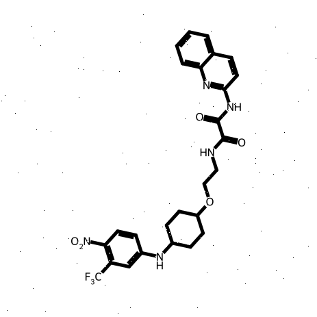 O=C(NCCOC1CCC(Nc2ccc([N+](=O)[O-])c(C(F)(F)F)c2)CC1)C(=O)Nc1ccc2ccccc2n1